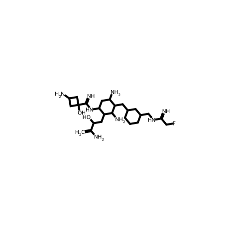 C=C(N)C(O)CC1C(NC(=N)C2(O)CC(N)C2)CC(N)C(CC2CCCC(CNC(=N)CF)C2)C1N